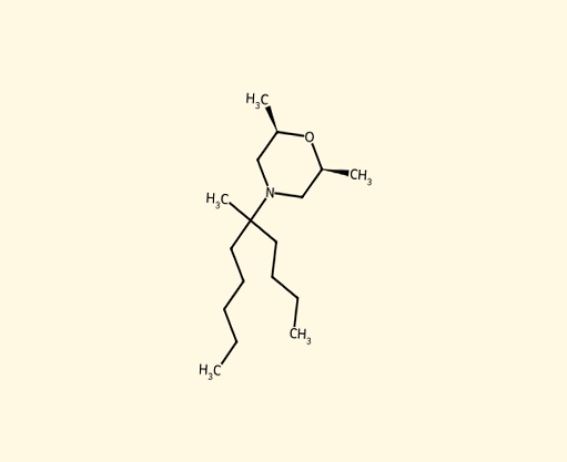 CCCCCC(C)(CCCC)N1C[C@@H](C)O[C@@H](C)C1